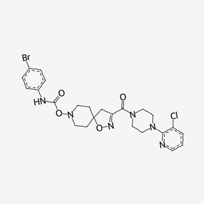 O=C(Nc1ccc(Br)cc1)ON1CCC2(CC1)CC(C(=O)N1CCN(c3ncccc3Cl)CC1)=NO2